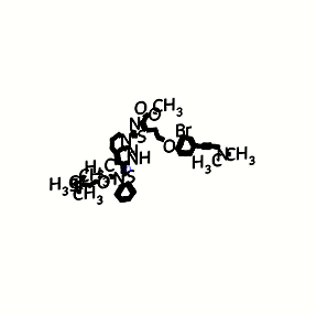 COC(=O)c1nc(N2CCCC3=C(C)/C(=C4/Sc5ccccc5N4COCC[Si](C)(C)C)NN=C32)sc1CCCOc1ccc(C#CCN(C)C)cc1Br